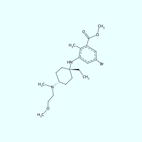 CC[C@]1(Nc2cc(Br)cc(C(=O)OC)c2C)CC[C@@H](N(C)CCOC)CC1